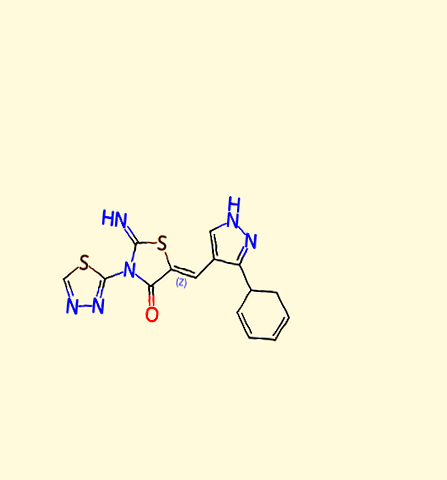 N=C1S/C(=C\c2c[nH]nc2C2C=CC=CC2)C(=O)N1c1nncs1